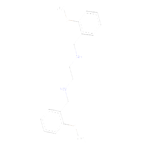 CSc1ccccc1CNCCNCc1ccccc1SC